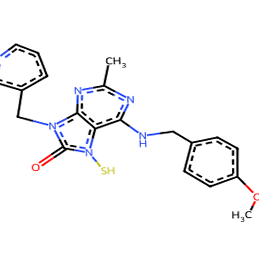 COc1ccc(CNc2nc(C)nc3c2n(S)c(=O)n3Cc2cccnc2)cc1